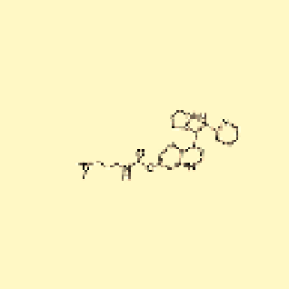 CN(C)CCCNC(=O)Oc1ccc2c(-c3c(-c4ccccn4)nn4c3CCC4)ccnc2c1